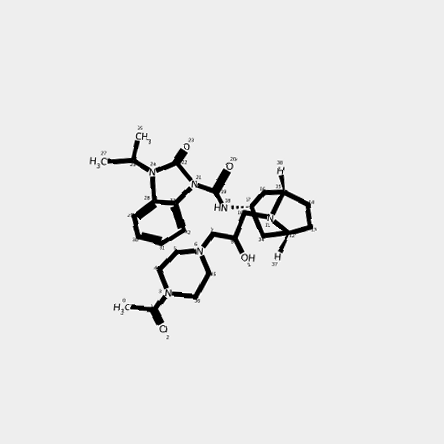 CC(=O)N1CCN(CC(O)CN2[C@@H]3CC[C@H]2C[C@@H](NC(=O)n2c(=O)n(C(C)C)c4ccccc42)C3)CC1